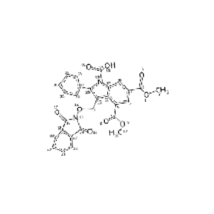 COC(=O)c1cc(C(=O)OC)c2c(CON3C(=O)c4ccccc4C3=O)c(-c3ccccc3)n(C(=O)O)c2c1